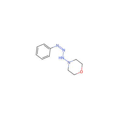 c1ccc(/N=N\NN2CCOCC2)cc1